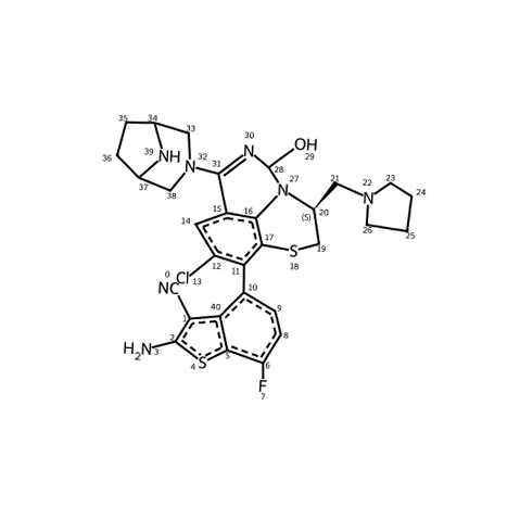 N#Cc1c(N)sc2c(F)ccc(-c3c(Cl)cc4c5c3SC[C@H](CN3CCCC3)N5C(O)N=C4N3CC4CCC(C3)N4)c12